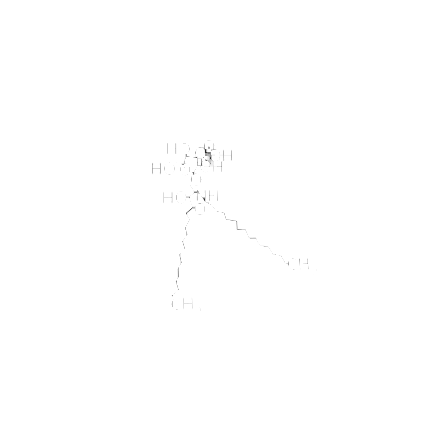 CCCCCCCCCCCCC/C=C/C(O)C(CO[C@@H]1O[C@H](CO)[C@H](O)[C@H](OS(=O)(=O)O)[C@H]1O)NC(=O)CCCCCCCCCCCCCCC